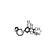 C=C(CC(C)(C)C)Nc1c(C)cc(N2CCCCc3sccc3C2)cc1C